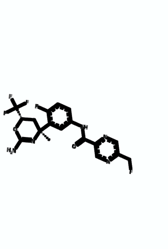 C[C@@]1(c2cc(NC(=O)c3cnc(CF)cn3)ccc2F)C[C@@H](C(F)(F)F)OC(N)=N1